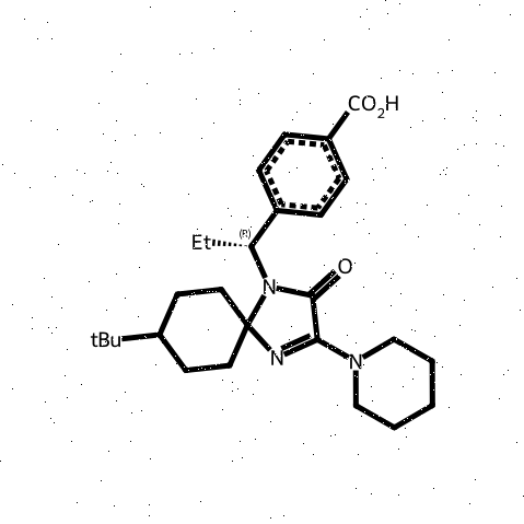 CC[C@H](c1ccc(C(=O)O)cc1)N1C(=O)C(N2CCCCC2)=NC12CCC(C(C)(C)C)CC2